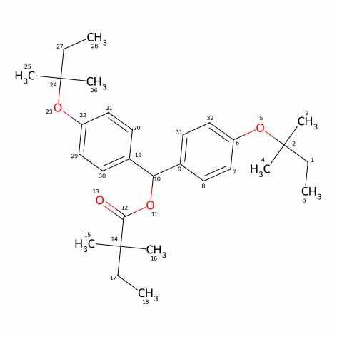 CCC(C)(C)Oc1ccc(C(OC(=O)C(C)(C)CC)c2ccc(OC(C)(C)CC)cc2)cc1